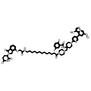 CCOc1cc(-c2ccc(N3CCC(CN4CCN(C(=O)CCCCCCCCCCCCNC(=O)COc5cccc6c5CN(C5CCC(=O)NC5=O)C6=O)CC4)(NC(=O)c4cc(F)ccc4F)CC3)nc2)c2c(C#N)cnn2c1